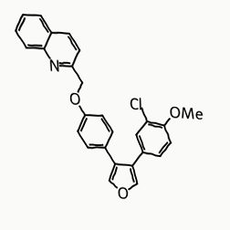 COc1ccc(-c2cocc2-c2ccc(OCc3ccc4ccccc4n3)cc2)cc1Cl